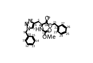 COC(=O)N[C@@H](Cc1cn(Cc2ccccc2)nn1)C(=O)OCc1ccccc1